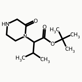 CC(C)C(C(=O)OC(C)(C)C)N1CCNCC1=O